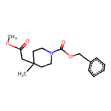 COC(=O)CC1(C)CCN(C(=O)OCc2ccccc2)CC1